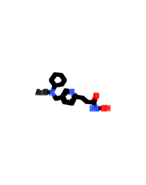 CC(=O)ON(Cc1ccc(CCC(=O)NO)nc1)C1CCCCC1